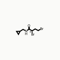 O=C(NCC1CC1)[C@H](Br)CCBr